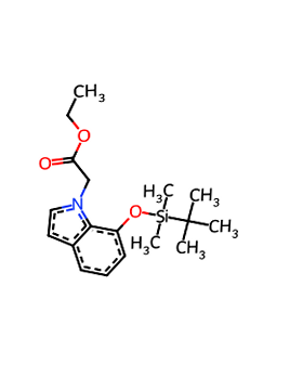 CCOC(=O)Cn1ccc2cccc(O[Si](C)(C)C(C)(C)C)c21